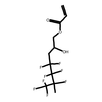 C=CC(=O)OCC(O)CC(F)(F)C(F)(F)C(C)(F)C(F)(F)F